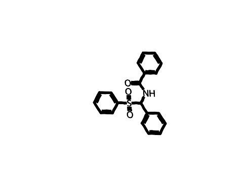 O=C(NC(c1ccccc1)S(=O)(=O)c1ccccc1)c1ccccc1